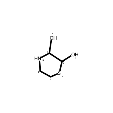 O[C]1SCCNC1O